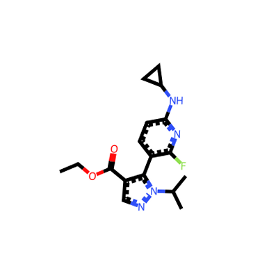 CCOC(=O)c1cnn(C(C)C)c1-c1ccc(NC2CC2)nc1F